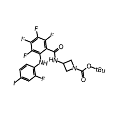 CC(C)(C)OC(=O)N1CC(NC(=O)c2c(F)c(F)c(F)c(F)c2Nc2ccc(I)cc2F)C1